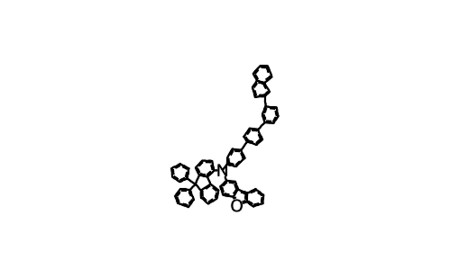 c1ccc(C2(c3ccccc3)c3ccccc3-c3c(N(c4ccc(-c5ccc(-c6cccc(-c7ccc8ccccc8c7)c6)cc5)cc4)c4ccc5oc6ccccc6c5c4)cccc32)cc1